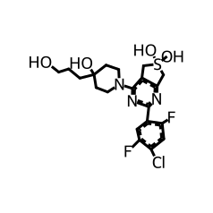 OCCCC1(O)CCN(c2nc(-c3cc(F)c(Cl)cc3F)nc3c2CS(O)(O)C3)CC1